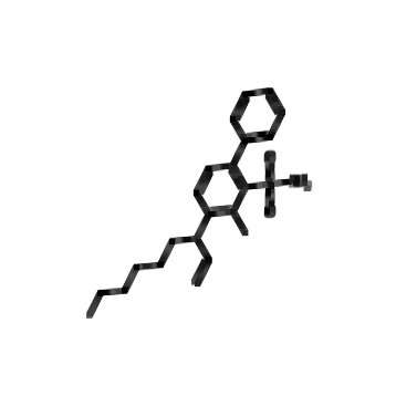 C=CC(CCCCCC)c1ccc(-c2ccccc2)c(S(N)(=O)=O)c1C